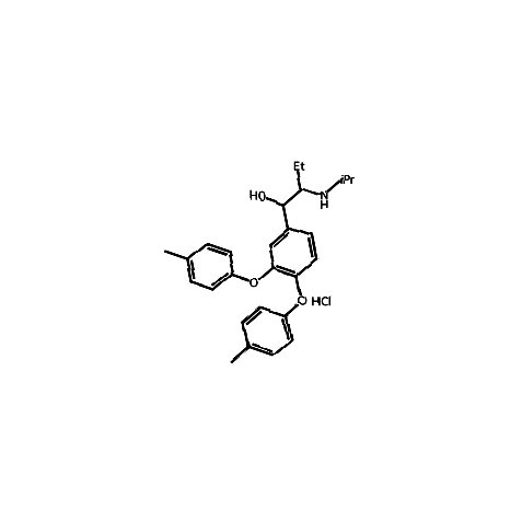 CCC(NC(C)C)C(O)c1ccc(Oc2ccc(C)cc2)c(Oc2ccc(C)cc2)c1.Cl